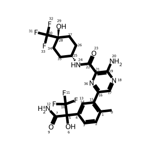 Cc1ccc(C(O)(C(N)=O)C(F)(F)F)cc1-c1cnc(N)c(C(=O)N[C@H]2CC[C@@](O)(C(F)(F)F)CC2)n1